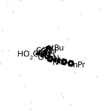 CCC[C@H]1CC[C@H](C2CCN(c3cnc(-c4ccc(C[C@H](NC(=O)c5ccc(C(C)(C)C)s5)C(=O)N[C@@H](CC(=O)O)C(=O)O)cc4)nc3)CC2)CC1